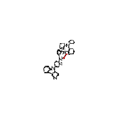 c1ccc(N2c3ccccc3[Si]3(c4ccccc42)c2ccccc2N(c2ccc(-n4c5ccccc5c5cnccc54)cn2)c2ccccc23)cc1